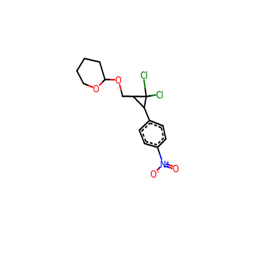 O=[N+]([O-])c1ccc(C2C(COC3CCCCO3)C2(Cl)Cl)cc1